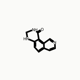 O=C1NCNc2ccc3ccncc3c21